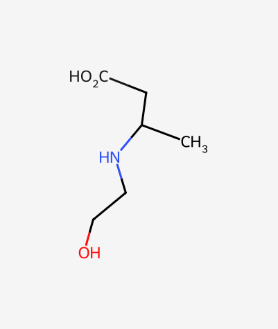 CC(CC(=O)O)NCCO